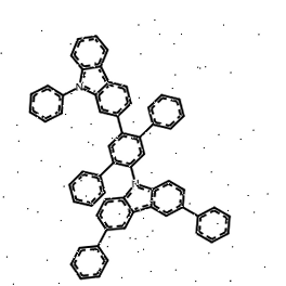 c1ccc(-c2ccc3c(c2)c2cc(-c4ccccc4)ccc2n3-c2cc(-c3ccccc3)c(-c3ccc4c5ccccc5n(-c5ccccc5)c4c3)cc2-c2ccccc2)cc1